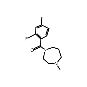 Cc1ccc(C(=O)N2CCCN(C)CC2)c(F)c1